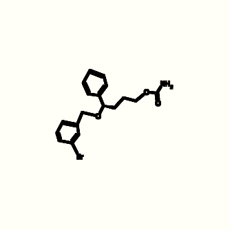 NC(=O)OCCC[C@@H](OCc1cccc(Br)c1)c1ccccc1